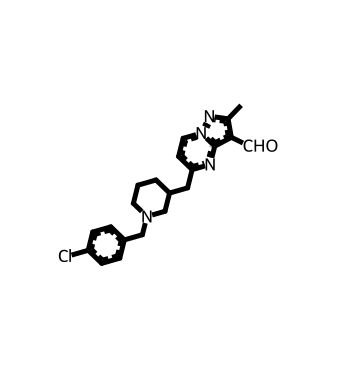 Cc1nn2ccc(CC3CCCN(Cc4ccc(Cl)cc4)C3)nc2c1C=O